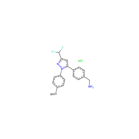 COc1ccc(-n2nc(C(F)F)cc2-c2ccc(CN)cc2)cc1.Cl